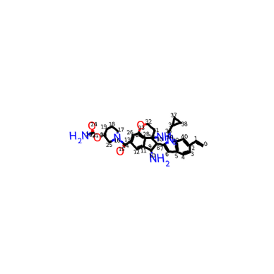 C=Cc1ccc2cc(C3C(N)c4cc(C(=O)N5CCC[C@@H](OC(N)=O)C5)cc5c4C3(N)CCO5)n(CC3CC3)c2c1